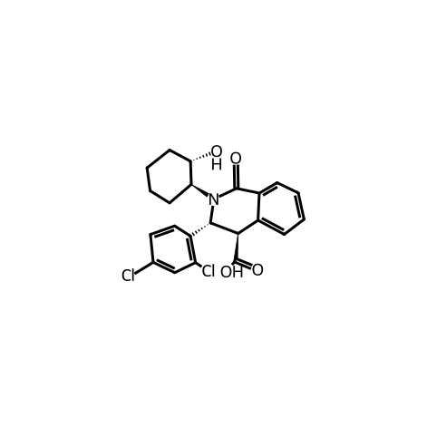 O=C(O)[C@@H]1c2ccccc2C(=O)N([C@H]2CCCC[C@@H]2O)[C@H]1c1ccc(Cl)cc1Cl